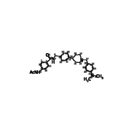 CC(=O)Nc1ccc(C(=O)NCc2ccc(C3CCN(Cc4ccc(N(C)C)cc4)CC3)cc2)cc1